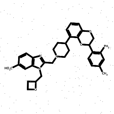 Cc1ccc(C2COc3cccc(C4CCN(Cc5nc6ccc(C(=O)O)cc6n5CC5CCO5)CC4)c3O2)c(P)c1